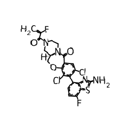 C=C(F)C(=O)N1CCN2C(=O)c3cc(Cl)c(-c4ccc(F)c5sc(N)nc45)c(Cl)c3OC[C@H]2C1